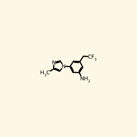 Cc1cn(-c2cc(N)cc(CC(F)(F)F)c2)cn1